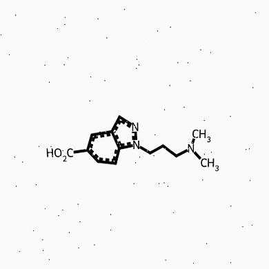 CN(C)CCCn1ncc2cc(C(=O)O)ccc21